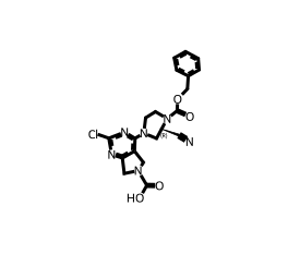 N#C[C@H]1CN(c2nc(Cl)nc3c2CN(C(=O)O)C3)CCN1C(=O)OCc1ccccc1